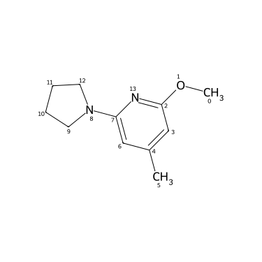 COc1cc(C)cc(N2CCCC2)n1